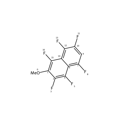 COc1c(F)c(F)c2c(F)cc(F)c(F)c2c1F